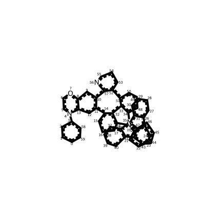 c1ccc(-n2ccoc3cc4c(cc32)c2cccc(-n3c5ccccc5c5ccccc53)c2c2c(-n3c5ccccc5c5ccccc53)cccc2c2cccnc42)cc1